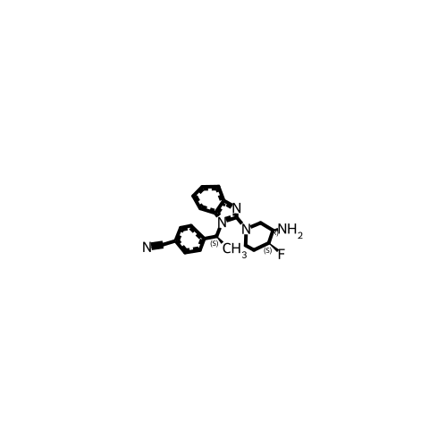 C[C@@H](c1ccc(C#N)cc1)n1c(N2CC[C@H](F)[C@H](N)C2)nc2ccccc21